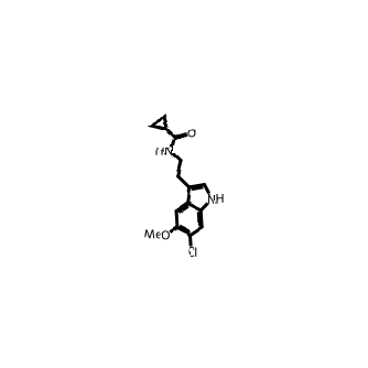 COc1cc2c(CCNC(=O)C3CC3)c[nH]c2cc1Cl